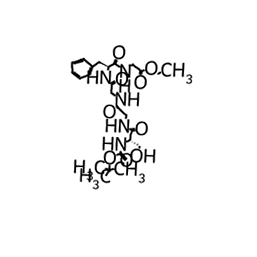 CCOC(=O)CNC(=O)[C@H](Cc1ccccc1)NC(=O)CNC(=O)CNC(=O)[C@H](CO)NC(=O)OC(C)(C)C